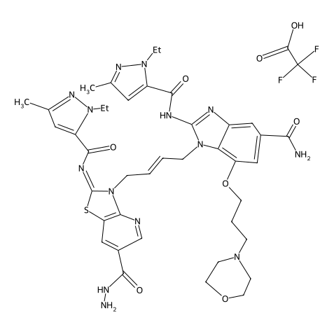 CCn1nc(C)cc1C(=O)/N=c1/sc2cc(C(=O)NN)cnc2n1C/C=C/Cn1c(NC(=O)c2cc(C)nn2CC)nc2cc(C(N)=O)cc(OCCCN3CCOCC3)c21.O=C(O)C(F)(F)F